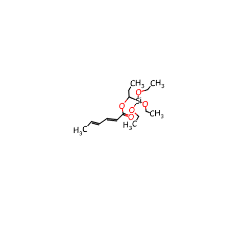 CC=CC=CC(=O)OC(CC)[Si](OCC)(OCC)OCC